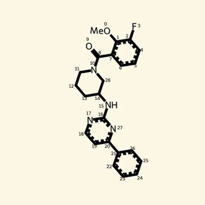 COc1c(F)cccc1C(=O)N1CCCC(Nc2nccc(-c3ccccc3)n2)C1